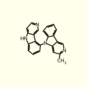 Cc1cc2c(cn1)c1ccccc1n2-c1cccc2[nH]c3ccncc3c12